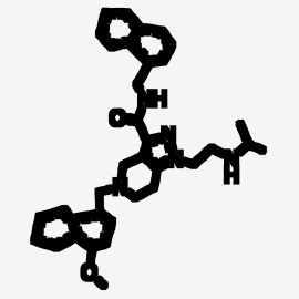 COc1ccc(CN2CCc3c(c(C(=O)NCc4cccc5ccccc45)nn3CCNC(C)C)C2)c2ccccc12